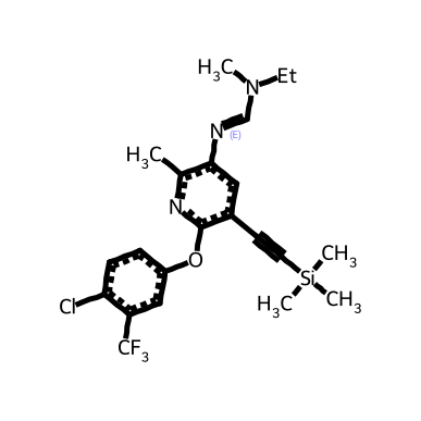 CCN(C)/C=N/c1cc(C#C[Si](C)(C)C)c(Oc2ccc(Cl)c(C(F)(F)F)c2)nc1C